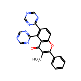 O=C(O)c1c(-c2ccccc2)oc2ccc(-c3ncncn3)c(-c3ncncn3)c2c1=O